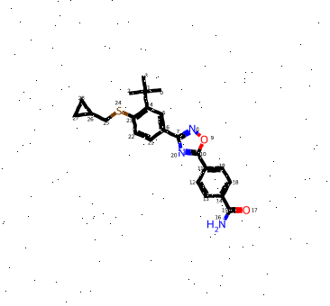 CC(C)(C)c1cc(-c2noc(-c3ccc(C(N)=O)cc3)n2)ccc1SCC1CC1